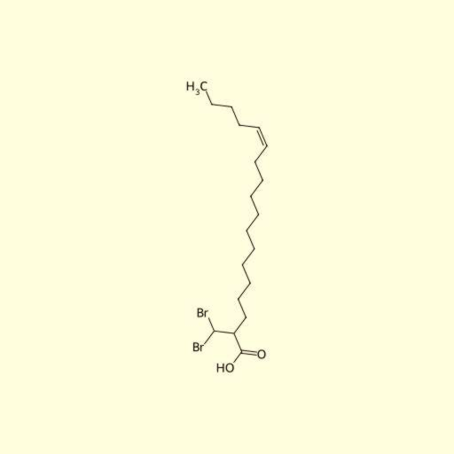 CCCC/C=C\CCCCCCCCCCC(C(=O)O)C(Br)Br